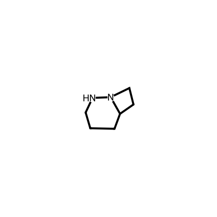 C1CNN2CCC2C1